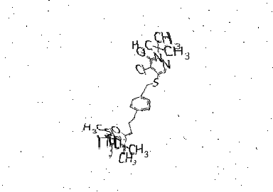 C[SiH](C)OC(CCCc1ccc(CSc2cnn(C(C)(C)C)c(=O)c2Cl)cc1)C(C)(C)C